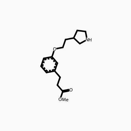 COC(=O)CCc1cccc(OCCC2CCNC2)c1